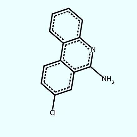 Nc1nc2ccccc2c2ccc(Cl)cc12